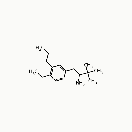 CCCc1cc(CC(N)C(C)(C)C)ccc1CC